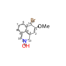 COC1=CC2=c3c(cccc3=CN(O)C2)C1Br